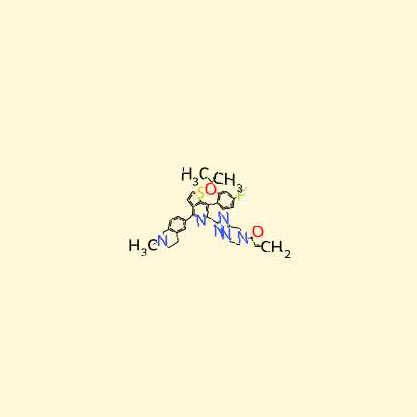 C=CC(=O)N1CCn2nc(-c3nc(-c4ccc5c(c4)CCN(C)C5)c4ccsc4c3-c3ccc(F)cc3OC(C)C)nc2C1